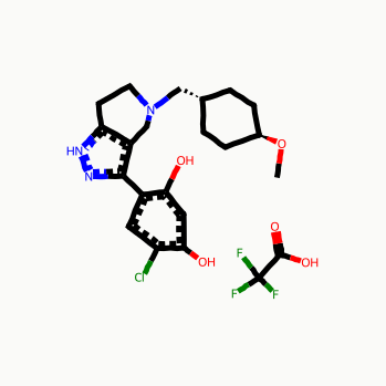 CO[C@H]1CC[C@H](CN2CCc3[nH]nc(-c4cc(Cl)c(O)cc4O)c3C2)CC1.O=C(O)C(F)(F)F